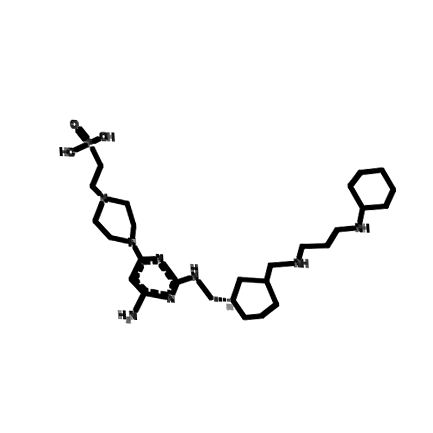 Nc1cc(N2CCN(CCP(=O)(O)O)CC2)nc(NC[C@H]2CCCC(CNCCCNC3CCCCC3)C2)n1